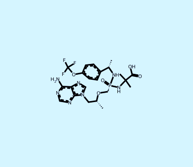 C[C@H](Cn1cnc2c(N)ncnc21)OC[P@](=O)(N[C@@H](C)c1ccc(OC(F)(F)F)cc1)NC(C)(C)C(=O)O